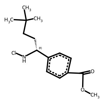 COC(=O)c1ccc([C@@H](CCC(C)(C)C)NCl)cc1